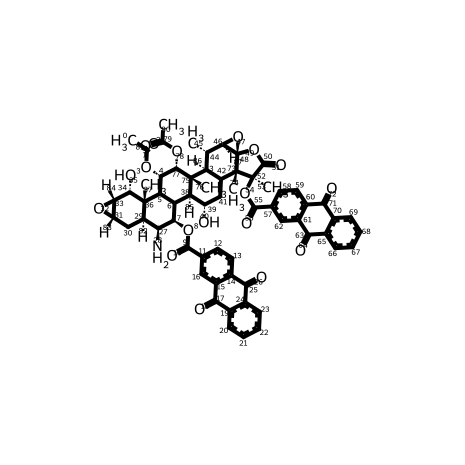 CC(=O)O[C@H]1C2C([C@@H](OC(=O)c3ccc4c(c3)C(=O)c3ccccc3C4=O)[C@@H](N)[C@H]3C[C@@H]4O[C@@H]4[C@H](O)[C@]23C)[C@@H]2[C@@H](O)CC3[C@H]([C@H](C)[C@H]4O[C@]45OC(=O)[C@@](C)(OC(=O)c4ccc6c(c4)C(=O)c4ccccc4C6=O)[C@]35C)[C@@]2(C)[C@H]1OC(C)=O